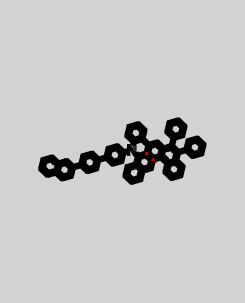 c1ccc(-c2c(-c3ccccc3)c3cc(-c4ccccc4N(c4ccc(-c5ccc(-c6ccc7ccccc7c6)cc5)cc4)c4cccc5ccccc45)ccc3c3ccccc23)cc1